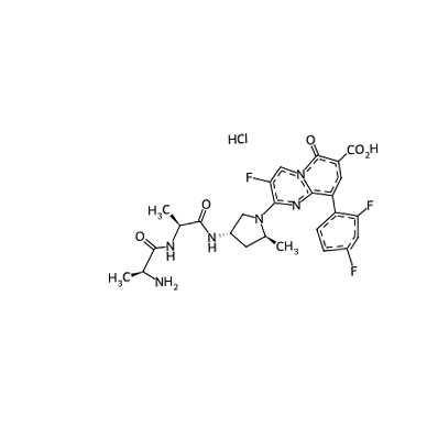 C[C@H](N)C(=O)N[C@@H](C)C(=O)N[C@H]1C[C@H](C)N(c2nc3c(-c4ccc(F)cc4F)cc(C(=O)O)c(=O)n3cc2F)C1.Cl